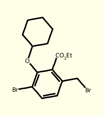 CCOC(=O)c1c(CBr)ccc(Br)c1OC1CCCCC1